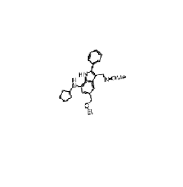 CCOCc1cc(NC2CCCC2)c2[nH]c(-c3ccccc3)c(C=NOC)c2c1